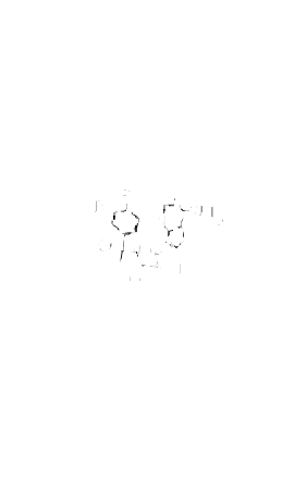 CC(O)(c1ccc(F)c(F)c1)[C@H]1O[C@@H](n2ccc3c(N)ncnc32)[C@H](O)[C@@H]1O